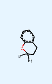 CCC1(CC)CCc2ccccc2O1